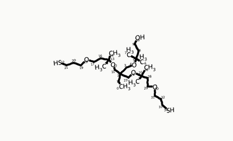 CCC(COC(C)(C)CCO)(COC(C)(C)CCOCCCS)COC(C)(C)CCOCCCS